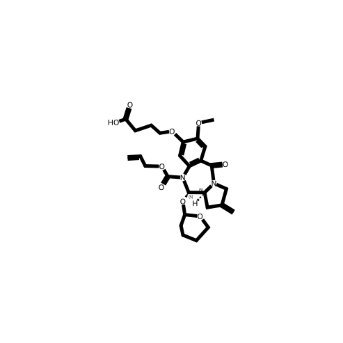 C=CCOC(=O)N1c2cc(OCCCC(=O)O)c(OC)cc2C(=O)N2CC(=C)C[C@H]2[C@@H]1OC1CCCCO1